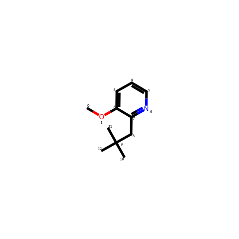 COc1cccnc1CC(C)(C)C